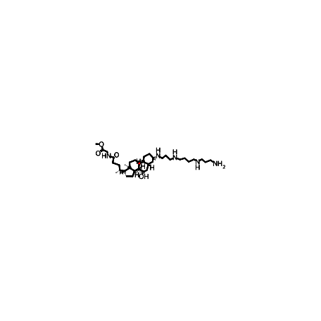 COC(=O)CNC(=O)CC[C@@H](C)[C@H]1CC[C@H]2[C@@H]3[C@H](O)C[C@@H]4C[C@@H](NCCCNCCCCNCCCN)CC[C@]4(C)[C@H]3CC[C@]12C